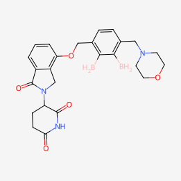 Bc1c(COc2cccc3c2CN(C2CCC(=O)NC2=O)C3=O)ccc(CN2CCOCC2)c1B